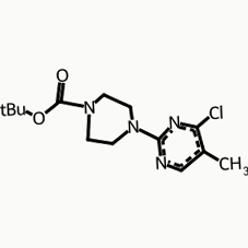 Cc1cnc(N2CCN(C(=O)OC(C)(C)C)CC2)nc1Cl